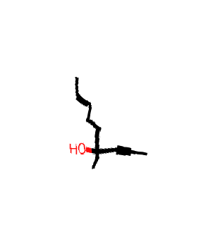 CC#CC(C)(O)CCC=CC